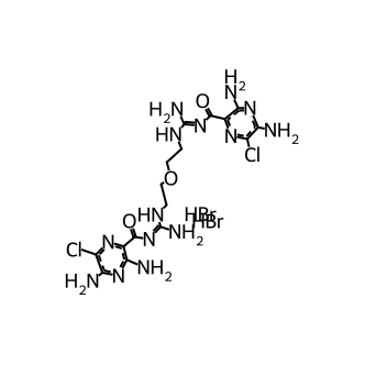 Br.Br.NC(=NC(=O)c1nc(Cl)c(N)nc1N)NCCOCCNC(N)=NC(=O)c1nc(Cl)c(N)nc1N